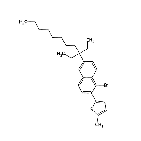 CCCCCCCCC(CC)(CC)c1ccc2c(Br)c(-c3ccc(C)s3)ccc2c1